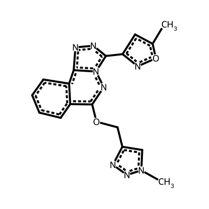 Cc1cc(-c2nnc3c4ccccc4c(OCc4cn(C)nn4)nn23)no1